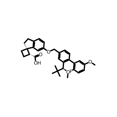 COc1ccc(F)c(-c2ccc(COc3ccc4c(c3)[C@]3(CC4)CC[C@H]3C(=O)O)cc2[C@@H](OC)C(C)(C)C)c1